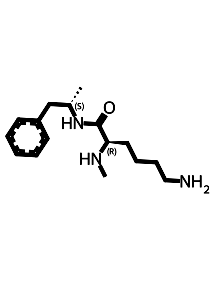 CN[C@H](CCCCN)C(=O)N[C@@H](C)Cc1ccccc1